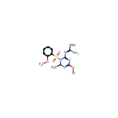 CCOC1=NC(C)N(S(=O)(=O)c2ccccc2OC(F)(F)F)C(N=C(N)SC)=N1